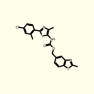 Cc1nc2cc(COC(=O)Nc3sc(-c4ccc(Cl)cc4C)nc3C)ccc2s1